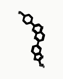 Cc1nc2cc(-c3ccc4ncc(N5CCN(C(C)C)CC5)nc4n3)ccc2o1